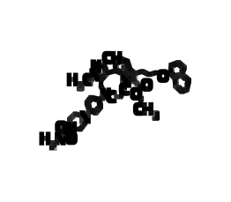 CCOC(=O)c1c(CCCOc2cccc3ccccc23)c2cccc3c2n1CCCN(c1ccc(N2CCN(S(N)(=O)=O)CC2)cc1)Cc1c-3c(C)nn1C